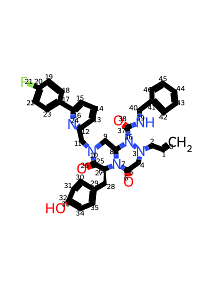 C=CCN1CC(=O)N2C(CN(Cc3cccc(-c4ccc(F)cc4)n3)C(=O)[C@@H]2Cc2ccc(O)cc2)N1C(=O)NCc1ccccc1